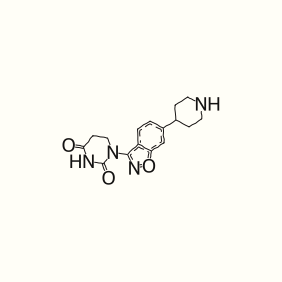 O=C1CCN(c2noc3cc(C4CCNCC4)ccc23)C(=O)N1